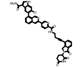 CNC(=O)c1c[nH]c2cc(Cl)c(-c3cccc4cc(-c5ccc(C(=O)NCCC#Cc6cccc7c6CN(C6CCC(=O)NC6=O)C7=O)nc5)ncc34)cc12